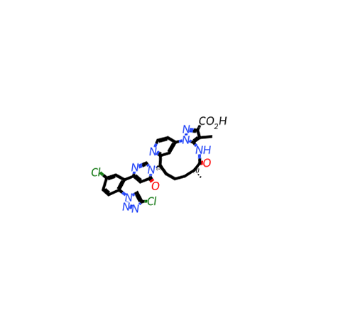 Cc1c(C(=O)O)nn2c1NC(=O)[C@H](C)CCC[C@H](n1cnc(-c3cc(Cl)ccc3-n3cc(Cl)nn3)cc1=O)c1cc-2ccn1